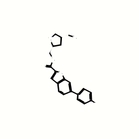 NC[C@H]1CN[C@H](CNC(=O)c2cc3ccc(-c4ccc(F)cc4)cc3[nH]2)C1